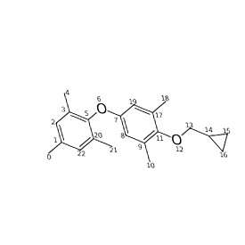 Cc1cc(C)c(Oc2cc(C)c(OCC3CC3)c(C)c2)c(C)c1